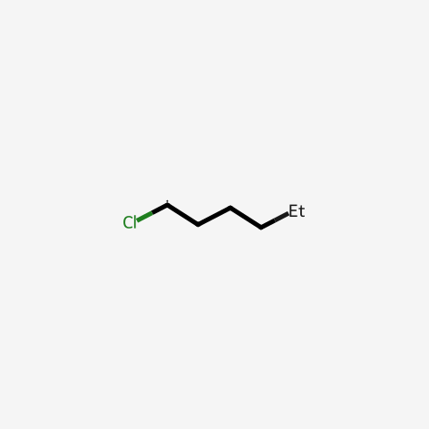 CCCCC[CH]Cl